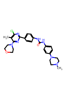 Cc1c(Cl)nc(-c2ccc(NC(=O)Nc3ccc(N4CCN(C)CC4)cc3)cc2)nc1N1CCOCC1